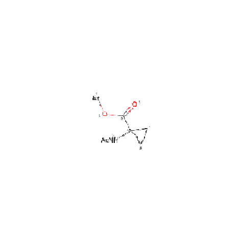 CCOC(=O)C1(NC(C)=O)CC1